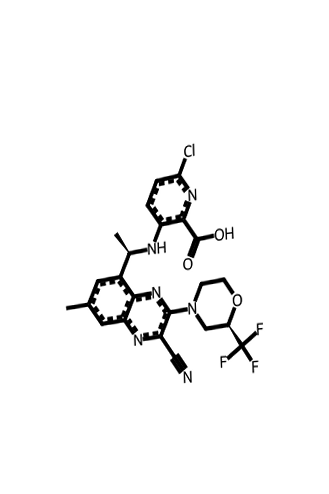 Cc1cc([C@@H](C)Nc2ccc(Cl)nc2C(=O)O)c2nc(N3CCO[C@@H](C(F)(F)F)C3)c(C#N)nc2c1